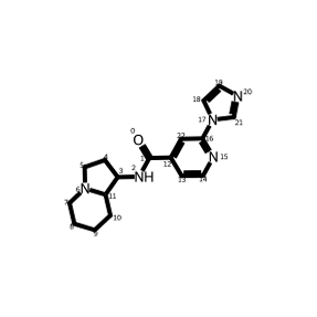 O=C(NC1CCN2CCCCC12)c1ccnc(-n2ccnc2)c1